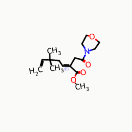 C=CC(C)(C)C/C=C(\CC(=O)N1CCOCC1)C(=O)OC